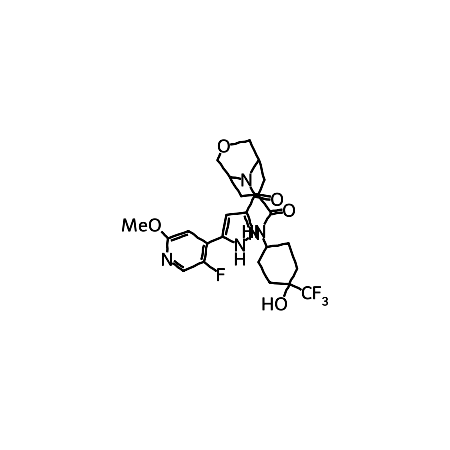 COc1cc(-c2cc(C(=O)N3C4COCC3CC(C(=O)NC3CCC(O)(C(F)(F)F)CC3)C4)n[nH]2)c(F)cn1